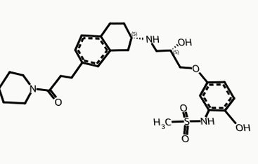 CS(=O)(=O)Nc1cc(OC[C@@H](O)CN[C@H]2CCc3ccc(CCC(=O)N4CCCCC4)cc3C2)ccc1O